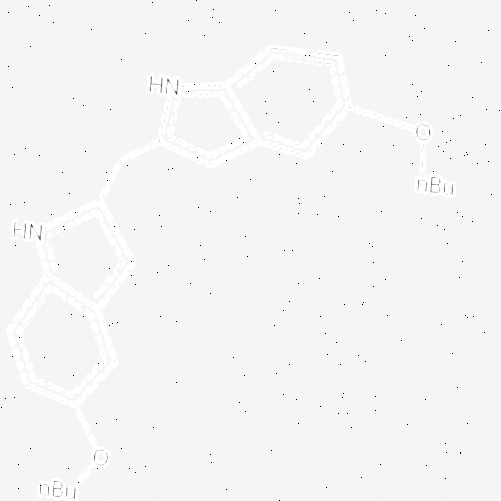 CCCCOc1ccc2[nH]c(Cc3cc4cc(OCCCC)ccc4[nH]3)cc2c1